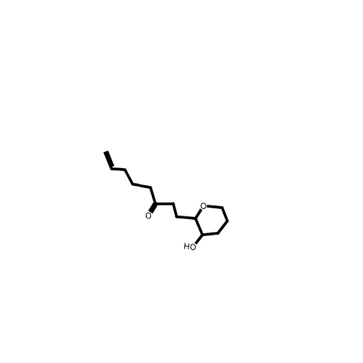 C=CCCCC(=O)CCC1OCCCC1O